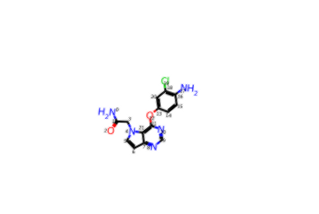 NC(=O)Cn1ccc2ncnc(Oc3ccc(N)c(Cl)c3)c21